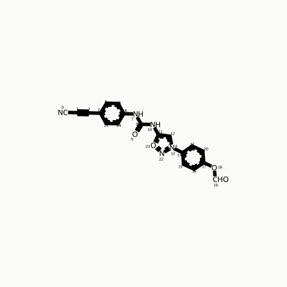 N#CC#Cc1ccc(NC(=O)Nc2c[n+](-c3ccc(OC=O)cc3)no2)cc1